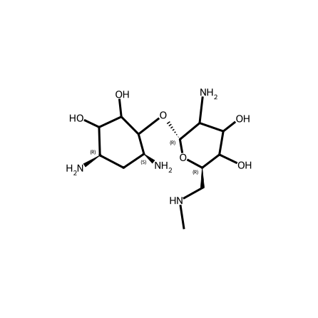 CNC[C@H]1O[C@H](OC2C(O)C(O)[C@H](N)C[C@@H]2N)C(N)C(O)C1O